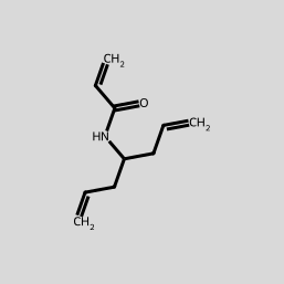 C=CCC(CC=C)NC(=O)C=C